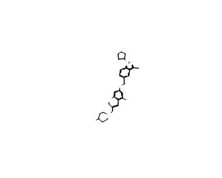 Cc1nn(C2CCCC2)c2ccc(COc3cc(F)c4c(c3)OCC(CN3CCC(C(=O)O)CC3)=C4)cc12